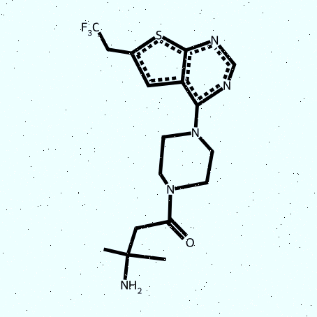 CC(C)(N)CC(=O)N1CCN(c2ncnc3sc(CC(F)(F)F)cc23)CC1